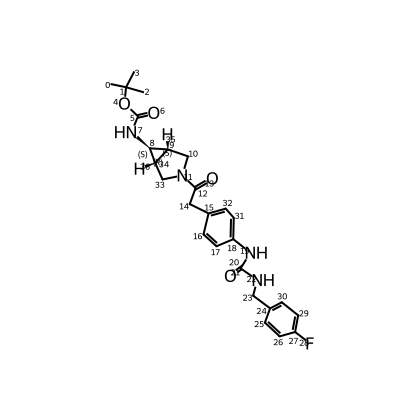 CC(C)(C)OC(=O)N[C@H]1[C@@H]2CN(C(=O)Cc3ccc(NC(=O)NCc4ccc(F)cc4)cc3)C[C@@H]21